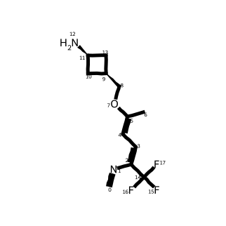 C=N/C(=C\C=C(/C)OC[C@H]1C[C@@H](N)C1)C(F)(F)F